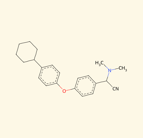 CN(C)C(C#N)c1ccc(Oc2ccc(C3CCCCC3)cc2)cc1